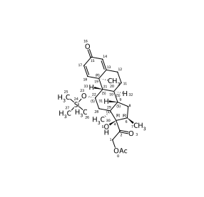 CC(=O)OCC(=O)[C@@]1(O)[C@H](C)C[C@H]2[C@@H]3CCC4=CC(=O)C=C[C@]4(C)[C@H]3[C@@H](O[Si](C)(C)C)C[C@@]21C